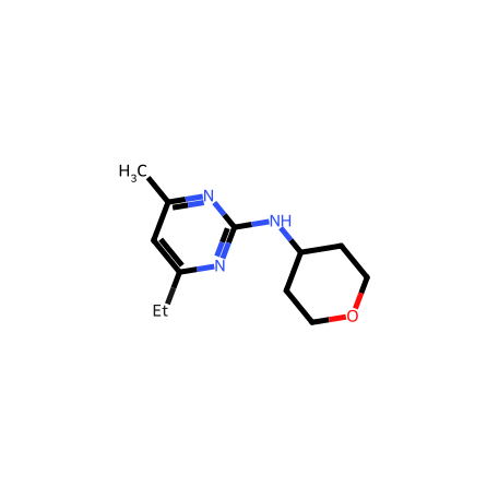 CCc1cc(C)nc(NC2CCOCC2)n1